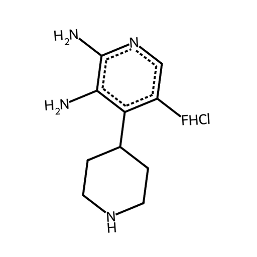 Cl.Nc1ncc(F)c(C2CCNCC2)c1N